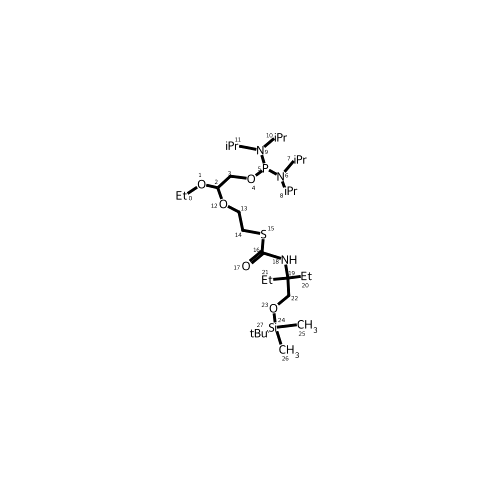 CCOC(COP(N(C(C)C)C(C)C)N(C(C)C)C(C)C)OCCSC(=O)NC(CC)(CC)CO[Si](C)(C)C(C)(C)C